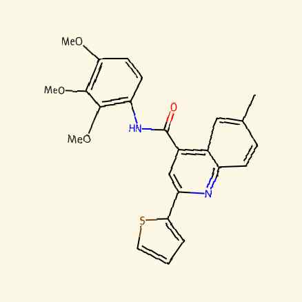 COc1ccc(NC(=O)c2cc(-c3cccs3)nc3ccc(C)cc23)c(OC)c1OC